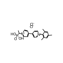 Cc1cc(C)c(-[n+]2ccc(-c3cc[n+](C(C)P(=O)(O)O)cc3)cc2)c(C)c1.[Cl-].[Cl-]